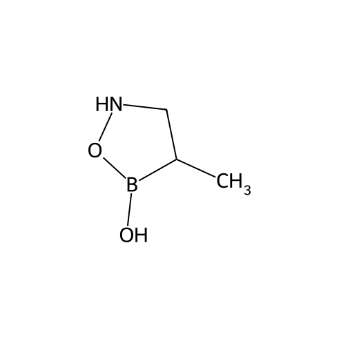 CC1CNOB1O